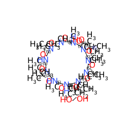 C/C=C/C[C@@H](C)[C@@H](O)[C@H]1C(=O)N[C@@H](CC)C(=O)N(C)CC(=O)N(C)[C@@H](CC(C)C)C(=O)N[C@@H](C(C)C)C(=O)N(C)[C@@H](CC(C)C)C(=O)N[C@@H](C)C(=O)N[C@H](C)C(=O)N(C)[C@@H](CC(C)C)C(=O)N(C)[C@@H](CC(C)C)C(=O)N(C)[C@@H](C(C)C)C(=O)N1C.C=CC.OCCO